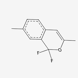 CC1=Cc2ccc(C)cc2C(F)(F)O1